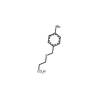 CC(C)(C)c1ccc(CSCCC(=O)O)cc1